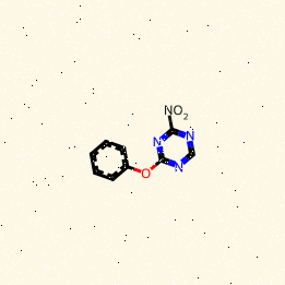 O=[N+]([O-])c1ncnc(Oc2ccccc2)n1